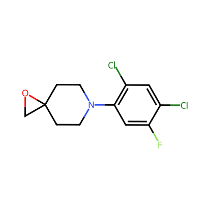 Fc1cc(N2CCC3(CC2)CO3)c(Cl)cc1Cl